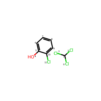 ClC(Cl)Cl.Oc1ccccc1Cl